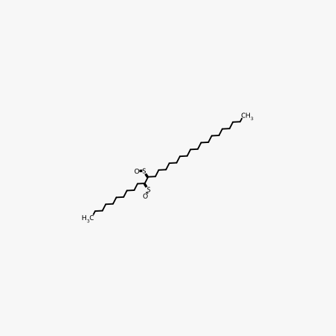 CCCCCCCCCCCCCCCCCCC(=S=O)C(CCCCCCCCCC)=S=O